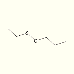 CCCOSCC